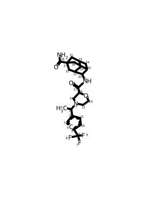 CC(c1ccc(C(F)(F)F)cc1)N1CCOC(C(=O)NC2C3CC4CC2CC(C(N)=O)(C4)C3)C1